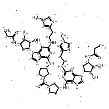 CCC(=O)N[C@H]1C[C@@H](n2cnc3c(N[C@@H]4CCN(C(=O)N5CC[C@@H](Nc6nc(NCCc7cn(C)cn7)nc7c6ncn7[C@@H]6C[C@H](NC(=O)CC)[C@@H](O)[C@H]6O)C5)C4)nc(NCCc4cn(C)cn4)nc32)[C@H](O)[C@@H]1O